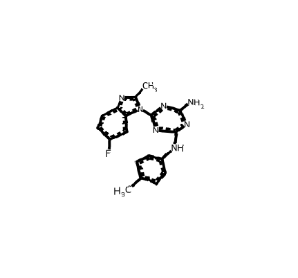 Cc1ccc(Nc2nc(N)nc(-n3c(C)nc4ccc(F)cc43)n2)cc1